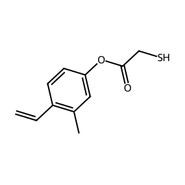 C=Cc1ccc(OC(=O)CS)cc1C